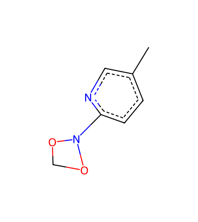 Cc1ccc(N2OCO2)nc1